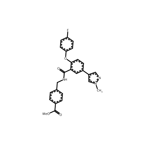 COC(=O)c1ccc(CNC(=O)c2cc(-c3cnn(C)c3)ccc2Oc2ccc(F)cc2)cc1